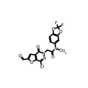 CN(C(=O)Cn1nc(Cl)c2oc(C=O)cc2c1=O)c1ccc2c(c1)OC(F)(F)O2